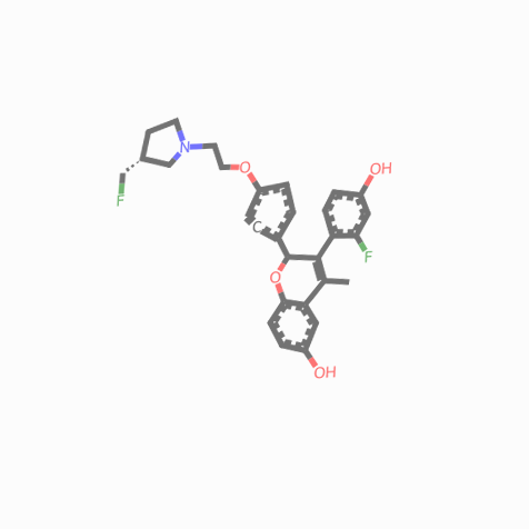 CC1=C(c2ccc(O)cc2F)C(c2ccc(OCCN3CC[C@@H](CF)C3)cc2)Oc2ccc(O)cc21